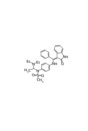 CCN(CC)C(C)N(c1ccc(N/C(=C2\C(=O)Nc3ccccc32)c2ccccc2)cc1)S(C)(=O)=O